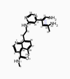 CNC(=O)c1ccnc2c(CCNc3cc(C(/C=C(/C)N)=C/N)ncn3)ccc(F)c12